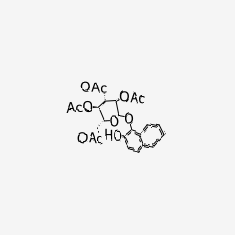 CC(=O)OC[C@H]1OC(Oc2c(O)ccc3ccccc23)[C@H](OC(C)=O)[C@@H](OC(C)=O)[C@@H]1OC(C)=O